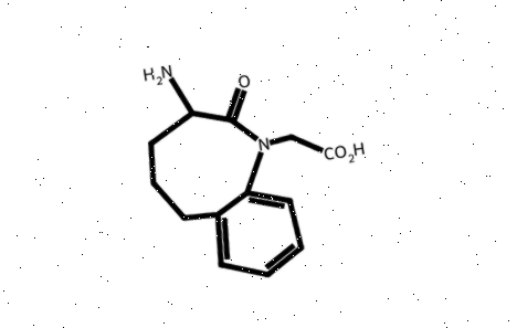 NC1CCCc2ccccc2N(CC(=O)O)C1=O